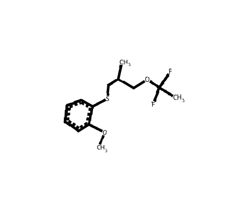 COc1ccccc1SCC(C)COC(C)(F)F